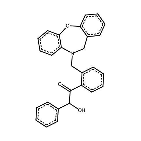 O=C(c1ccccc1CN1Cc2ccccc2Oc2ccccc21)C(O)c1ccccc1